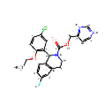 O=C(O)COc1ccc(Cl)cc1[C@@H]1c2ccc(F)cc2CCN1C(=O)OCc1ccncn1